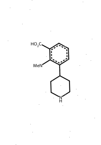 CNc1c(C(=O)O)cccc1C1CCNCC1